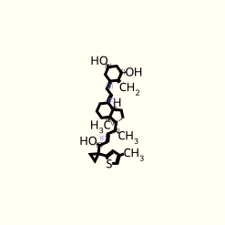 C=C1/C(=C\C=C2/CCC[C@]3(C)[C@@H]([C@H](C)/C=C/[C@H](O)C4(c5cc(C)cs5)CC4)CC[C@@H]23)C[C@@H](O)C[C@@H]1O